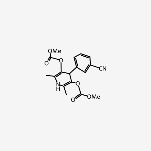 COC(=O)OC1=C(C)NC(C)=C(OC(=O)OC)C1c1cccc(C#N)c1